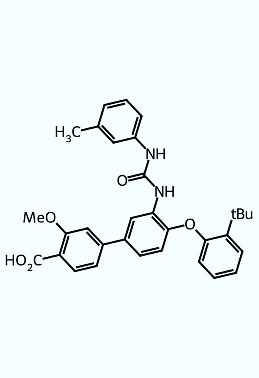 COc1cc(-c2ccc(Oc3ccccc3C(C)(C)C)c(NC(=O)Nc3cccc(C)c3)c2)ccc1C(=O)O